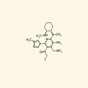 CN[C@H]1CCCC[C@H]1N(C)c1nc(-c2cnn(C)c2)c(C(=O)CI)c(CN)c1P